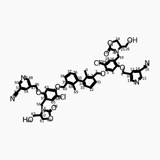 Cc1c(COc2cc(OCc3cncc(C#N)c3)c(CN3C(=O)OCC3CO)cc2Cl)cccc1-c1cccc(COc2cc(OCc3cncc(C#N)c3)c(CN3C(=O)OCC3CO)cc2Cl)c1C